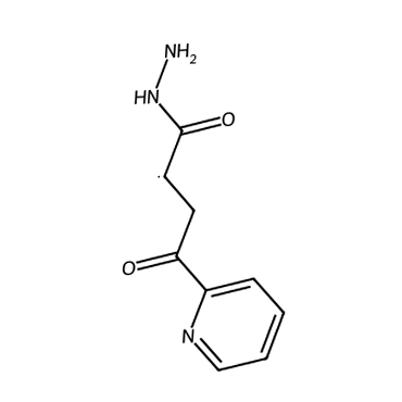 NNC(=O)[CH]CC(=O)c1ccccn1